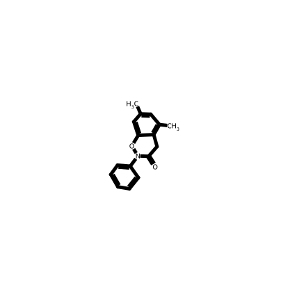 Cc1cc(C)c2c(c1)ON(c1ccccc1)C(=O)C2